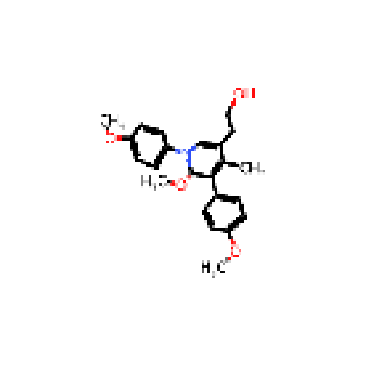 COc1ccc(C2=C(C)C(CCO)=[C]N(c3ccc(OC)cc3)C2OC)cc1